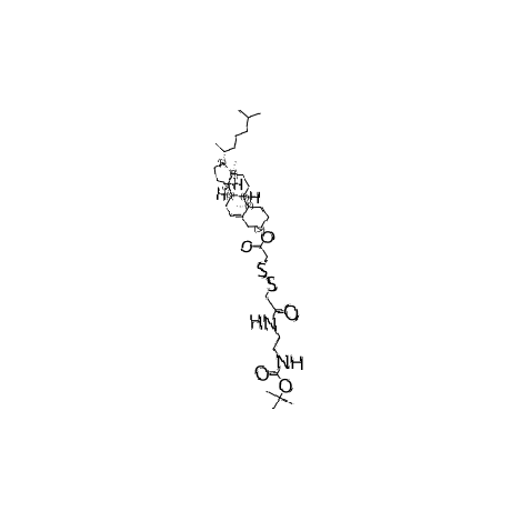 CC(C)CCCC(C)[C@H]1CC[C@H]2[C@@H]3CC=C4C[C@@H](OC(=O)CSSCC(=O)NCCNC(=O)OC(C)(C)C)CC[C@]4(C)[C@H]3CC[C@]12C